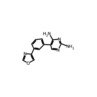 Nc1ncc(-c2cccc(-c3cocn3)c2)c(N)n1